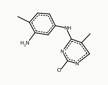 Cc1ccc(Nc2nc(Cl)ncc2C)cc1N